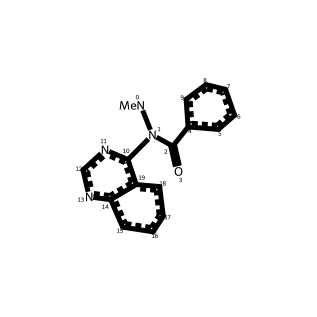 CNN(C(=O)c1ccccc1)c1ncnc2ccccc12